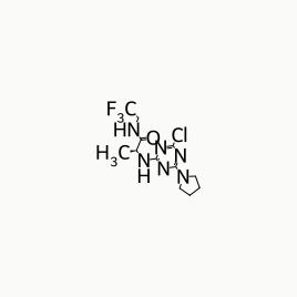 C[C@H](Nc1nc(Cl)nc(N2CCCC2)n1)C(=O)NCC(F)(F)F